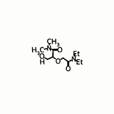 CCN(CC)C(=O)COC(CO)C(=O)N(C)C